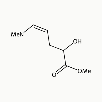 CN/C=C\CC(O)C(=O)OC